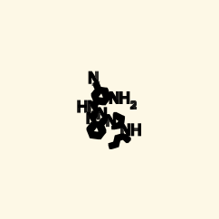 CCCC(C)N[C@H]1CCN(c2nc(Nc3cc(N)cc(C#N)c3)nc3ccccc23)C1